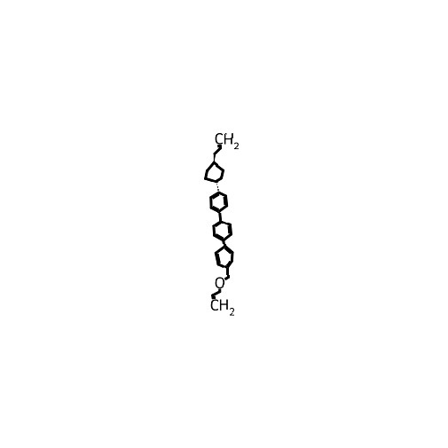 C=CCOCc1ccc(-c2ccc(-c3ccc([C@H]4CC[C@H](CC=C)CC4)cc3)cc2)cc1